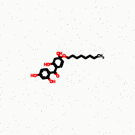 CCCCCCCCOC1(O)C=CC(C(=O)c2ccc(O)cc2O)=C(O)C1